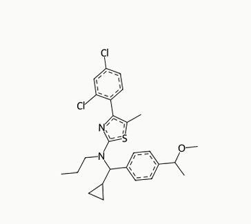 CCCN(c1nc(-c2ccc(Cl)cc2Cl)c(C)s1)C(c1ccc(C(C)OC)cc1)C1CC1